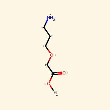 CCOC(=O)COCCCN